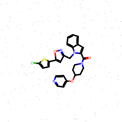 O=C(c1cc2ccccc2n1Cc1cc(-c2ccc(Cl)s2)on1)N1CCC(Oc2ccncc2)CC1